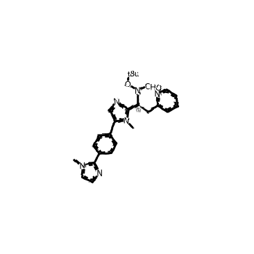 Cn1ccnc1-c1ccc(-c2cnc([C@H](Cc3ccccn3)N(C=O)OC(C)(C)C)n2C)cc1